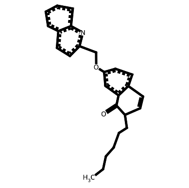 CCCCCCC1C=Cc2ccc(OCc3ccc4ccccc4n3)cc2C1=O